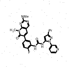 CNc1ncc2cc(-c3ccc(F)c(NC(=O)Nc4cc(C(C)C)nn4-c4cccnc4)c3)c(=O)n(C)c2n1